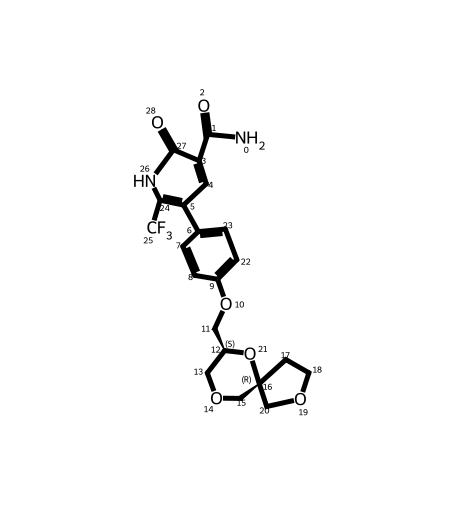 NC(=O)c1cc(-c2ccc(OC[C@@H]3COC[C@]4(CCOC4)O3)cc2)c(C(F)(F)F)[nH]c1=O